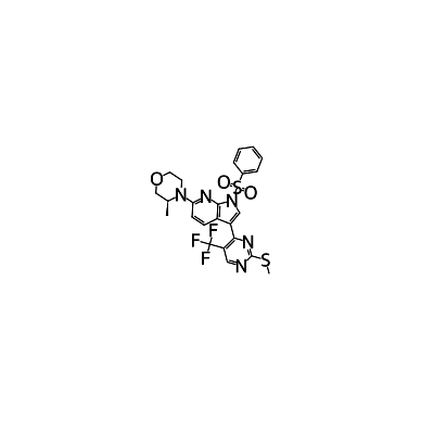 CSc1ncc(C(F)(F)F)c(-c2cn(S(=O)(=O)c3ccccc3)c3nc(N4CCOC[C@@H]4C)ccc23)n1